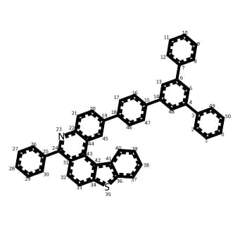 c1ccc(-c2cc(-c3ccccc3)cc(-c3ccc(-c4ccc5nc(-c6ccccc6)c6ccc7sc8ccccc8c7c6c5c4)cc3)c2)cc1